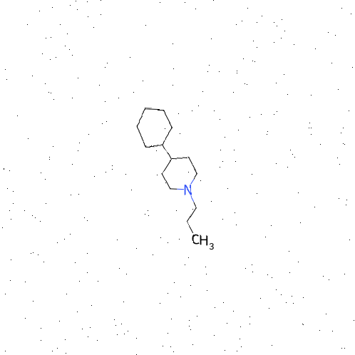 CCCN1CCC(C2CCCCC2)CC1